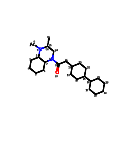 CC(=O)N1C2CCCCC2N(C(=O)CC2CCC(C3CCCCC3)CC2)C[C@@H]1C